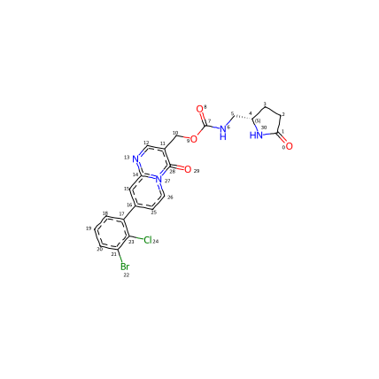 O=C1CC[C@@H](CNC(=O)OCc2cnc3cc(-c4cccc(Br)c4Cl)ccn3c2=O)N1